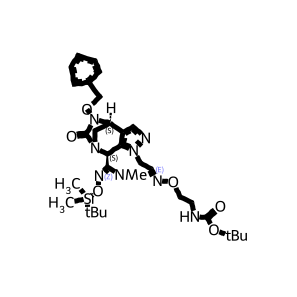 CN/C(=N\O[Si](C)(C)C(C)(C)C)[C@@H]1c2c(cnn2C/C=N/OCCNC(=O)OC(C)(C)C)[C@H]2CN1C(=O)N2OCc1ccccc1